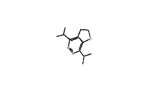 CC(C)c1nnc(C(C)C)c2c1CCO2